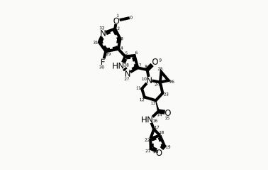 COc1cc(-c2cc(C(=O)N3CC[C@H](C(=O)NC4c5cocc54)CC34CC4)n[nH]2)c(F)cn1